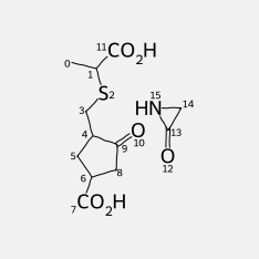 CC(SCC1CC(C(=O)O)CC1=O)C(=O)O.O=C1CN1